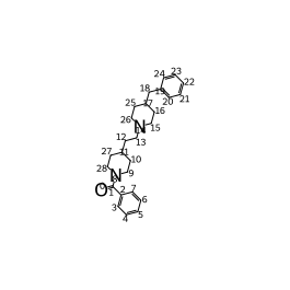 O=C(c1ccccc1)N1CCC(CCN2CCC(Cc3ccccc3)CC2)CC1